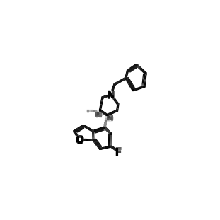 C[C@@H]1CN(Cc2ccccc2)CC[C@@H]1c1cc(F)cc2occc12